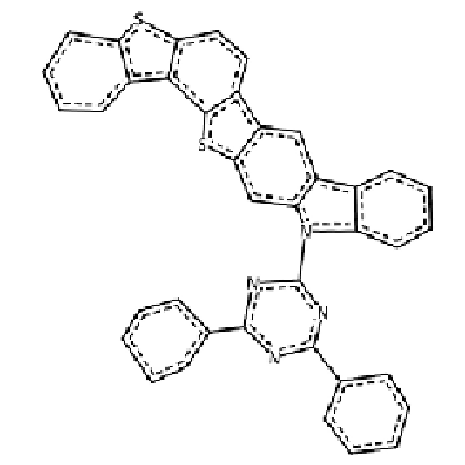 c1ccc(-c2nc(-c3ccccc3)nc(-n3c4ccccc4c4cc5c(cc43)sc3c5ccc4sc5ccccc5c43)n2)cc1